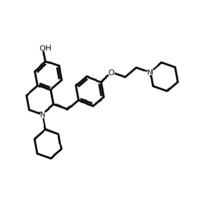 Oc1ccc2c(c1)CCN(C1CCCCC1)C2Cc1ccc(OCCN2CCCCC2)cc1